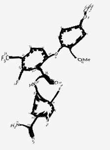 COc1cc(OC(F)(F)F)ccc1Oc1ccc(C(F)(F)F)c(F)c1C(=O)Nc1cc(C(N)=O)ncc1F